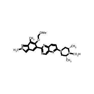 COCOc1c(-c2ncc3nc(N4C[C@@H](C)N(C(=O)O)[C@@H](C)C4)ccc3n2)cc2cn(C)nc2c1C